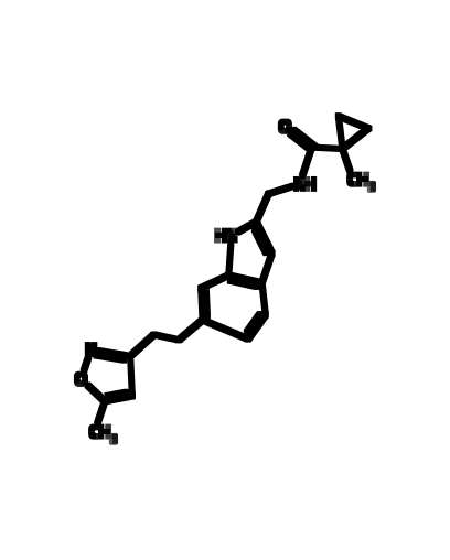 Cc1cc(CCc2ccc3cc(CNC(=O)C4(C)CC4)[nH]c3c2)no1